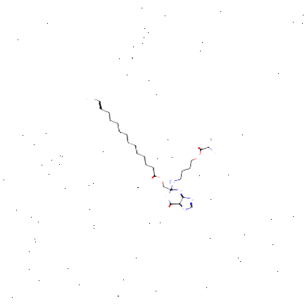 CCCCCCCCC=CCCCCCCCCCCCC(=O)OCC1(NCCCCOC(=O)[C@@H](N)C(C)C)N=C2N=CN=C2C(=O)N1